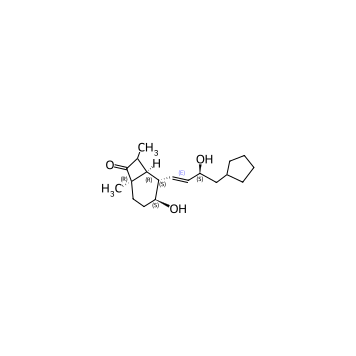 CC1C(=O)[C@]2(C)CC[C@H](O)[C@@H](/C=C/[C@@H](O)CC3CCCC3)[C@H]12